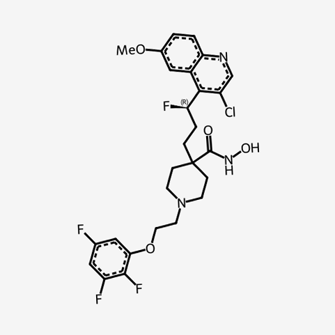 COc1ccc2ncc(Cl)c([C@H](F)CCC3(C(=O)NO)CCN(CCOc4cc(F)cc(F)c4F)CC3)c2c1